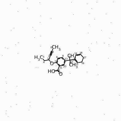 CC#CC(CC)Oc1ccc(C(C)(C)C2=CCCC=C2)cc1C(=O)O